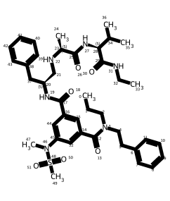 CCCN(CCc1ccccc1)C(=O)c1cc(C(=O)N[C@H](CN[C@@H](C)C(=O)N[C@H](C(=O)NCC)C(C)C)Cc2ccccc2)cc(N(C)S(C)(=O)=O)c1